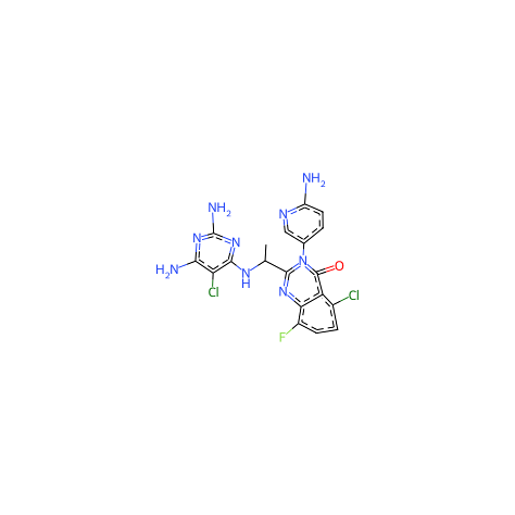 CC(Nc1nc(N)nc(N)c1Cl)c1nc2c(F)ccc(Cl)c2c(=O)n1-c1ccc(N)nc1